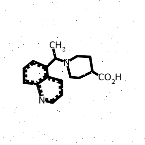 CC(c1cccc2ncccc12)N1CCC(C(=O)O)CC1